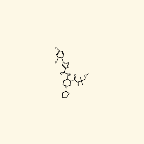 COCC(C)(C)NC(=O)[C@@H]1CN(C2CCCC2)CC[C@H]1NC(=O)c1cn(-c2ccc(F)cc2F)nn1